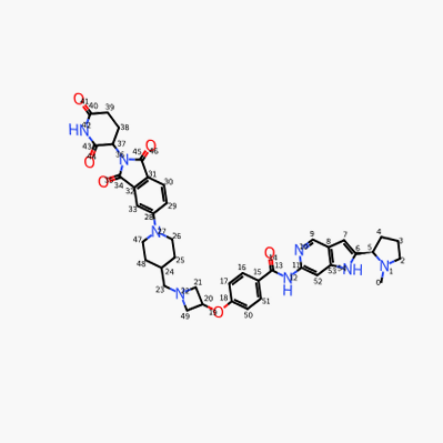 CN1CCC[C@@H]1c1cc2cnc(NC(=O)c3ccc(OC4CN(CC5CCN(c6ccc7c(c6)C(=O)N(C6CCC(=O)NC6=O)C7=O)CC5)C4)cc3)cc2[nH]1